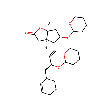 O=C1C[C@@H]2[C@@H](C=C[C@H](CC3C=CCCC3)OC3CCCCO3)[C@H](OC3CCCCO3)C[C@@H]2O1